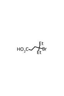 CCC(Br)(CC)CCC(=O)O